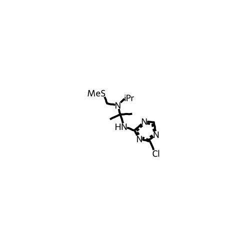 CSCN(C(C)C)C(C)(C)Nc1ncnc(Cl)n1